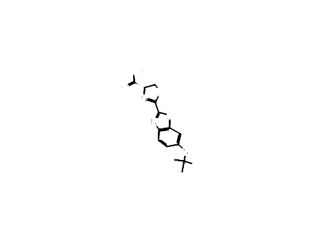 CC(C)(C)Nc1ccc2nc(C3=N[C@@H](C(=O)O)CS3)sc2c1